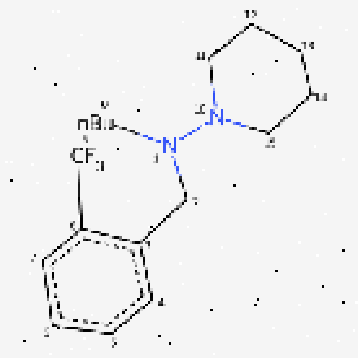 CCCCN(Cc1ccccc1C(F)(F)F)N1CCCCC1